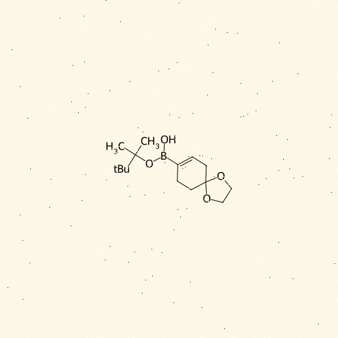 CC(C)(C)C(C)(C)OB(O)C1=CCC2(CC1)OCCO2